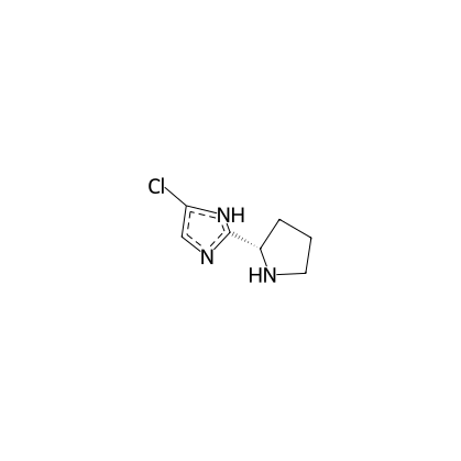 Clc1cnc([C@@H]2CCCN2)[nH]1